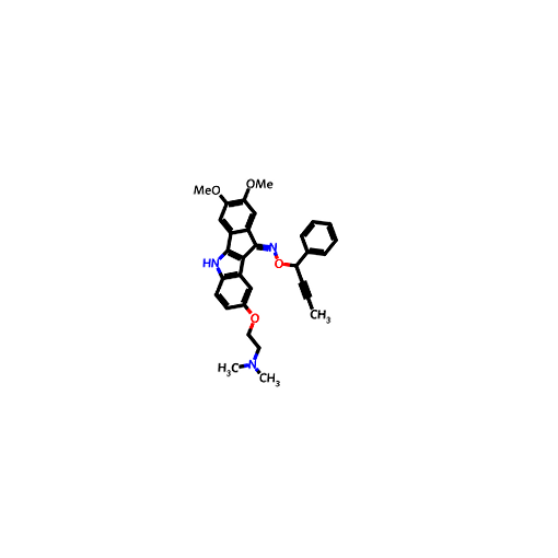 CC#CC(ON=C1c2cc(OC)c(OC)cc2-c2[nH]c3ccc(OCCN(C)C)cc3c21)c1ccccc1